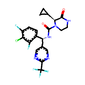 O=C1NCCN(C(=O)N[C@H](c2cnc(C(F)(F)F)nc2)c2ccc(F)c(Cl)c2F)[C@H]1C1CC1